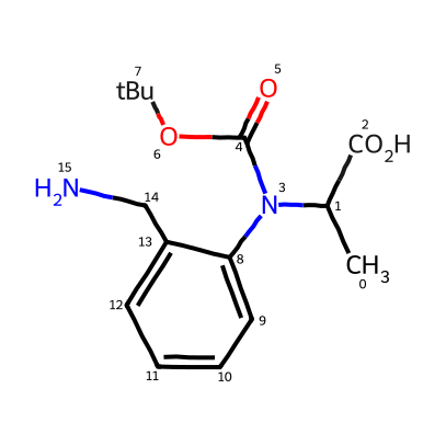 CC(C(=O)O)N(C(=O)OC(C)(C)C)c1ccccc1CN